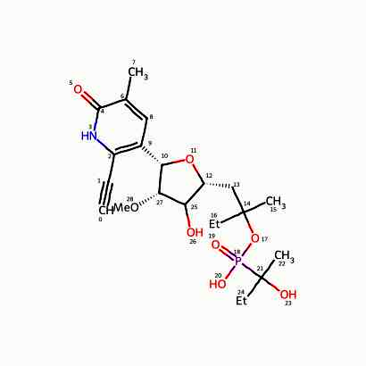 C#Cc1[nH]c(=O)c(C)cc1[C@@H]1O[C@H](CC(C)(CC)OP(=O)(O)C(C)(O)CC)C(O)[C@@H]1OC